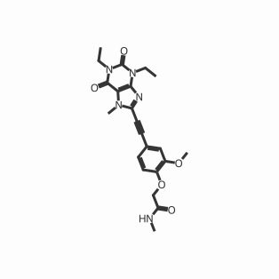 CCn1c(=O)c2c(nc(C#Cc3ccc(OCC(=O)NC)c(OC)c3)n2C)n(CC)c1=O